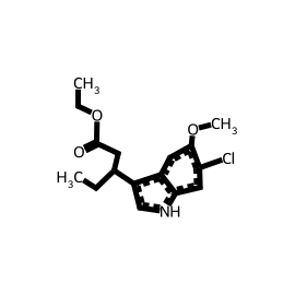 CCOC(=O)CC(CC)c1c[nH]c2cc(Cl)c(OC)cc12